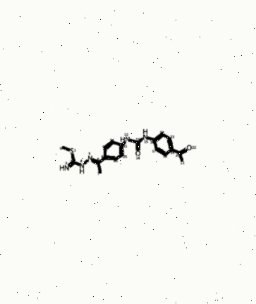 CSC(=N)N/N=C(\C)c1ccc(NC(=O)Nc2ccc(C(C)=O)cc2)cc1